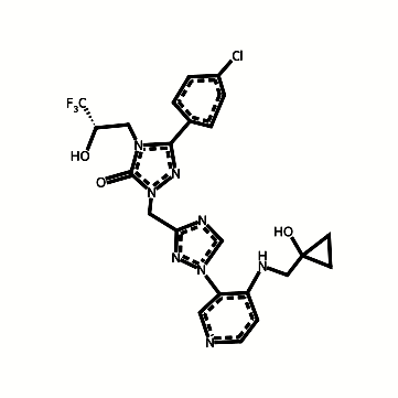 O=c1n(Cc2ncn(-c3cnccc3NCC3(O)CC3)n2)nc(-c2ccc(Cl)cc2)n1C[C@H](O)C(F)(F)F